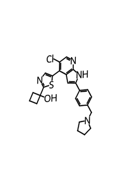 OC1(c2ncc(-c3c(Cl)cnc4[nH]c(-c5ccc(CN6CCCC6)cc5)cc34)s2)CCC1